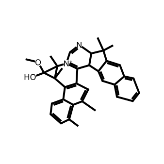 COC1(O)C2(C)c3c(cc(C)c4c(C)cccc34)C3=[N+](C=NC4C3c3cc5ccccc5cc3C4(C)C)C12C